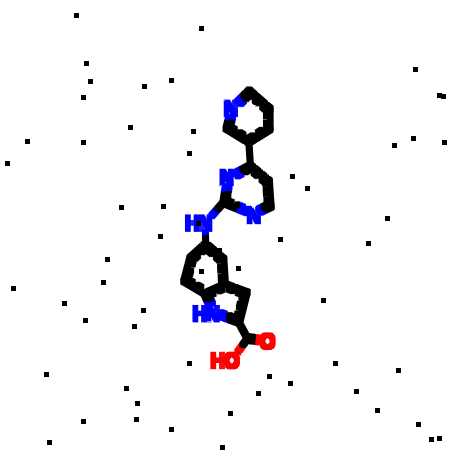 O=C(O)c1cc2cc(Nc3nccc(-c4cccnc4)n3)ccc2[nH]1